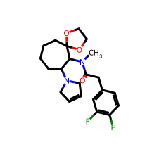 CN(C(=O)Cc1ccc(F)c(F)c1)C1C(N2CC=CC2)CCCCC12OCCO2